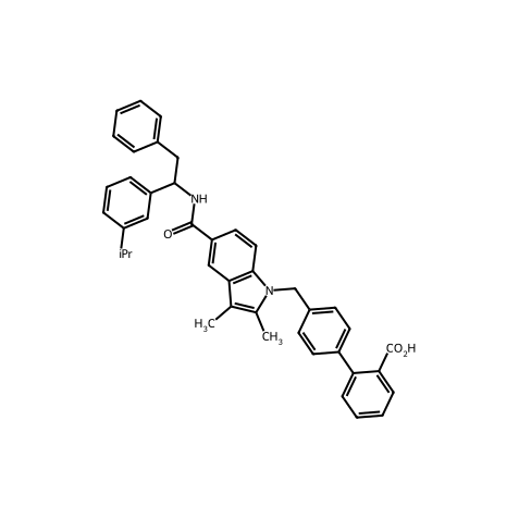 Cc1c(C)n(Cc2ccc(-c3ccccc3C(=O)O)cc2)c2ccc(C(=O)NC(Cc3ccccc3)c3cccc(C(C)C)c3)cc12